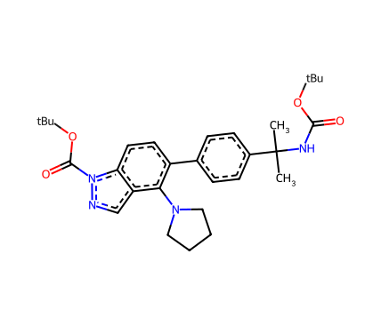 CC(C)(C)OC(=O)NC(C)(C)c1ccc(-c2ccc3c(cnn3C(=O)OC(C)(C)C)c2N2CCCC2)cc1